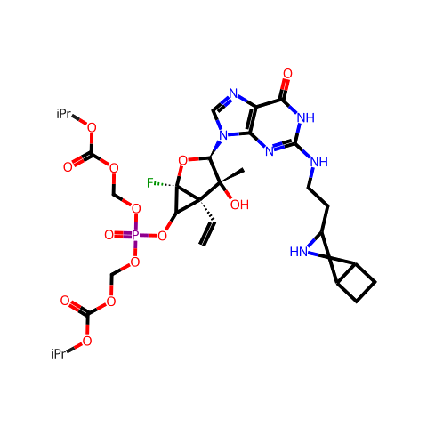 C=C[C@]12C(OP(=O)(OCOC(=O)OC(C)C)OCOC(=O)OC(C)C)[C@@]1(F)O[C@@H](n1cnc3c(=O)[nH]c(NCCC4NC45C4CCC45)nc31)[C@]2(C)O